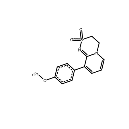 CCCOc1ccc(C2=CC=CN3CCS(=O)(=O)N=C23)cc1